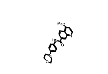 COc1ccnc2cc(C(=O)Nc3ccc(N4CCOCC4)cc3)ccc12